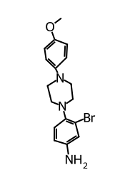 COc1ccc(N2CCN(c3ccc(N)cc3Br)CC2)cc1